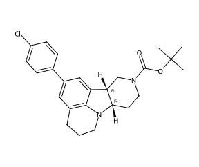 CC(C)(C)OC(=O)N1CC[C@H]2[C@@H](C1)c1cc(-c3ccc(Cl)cc3)cc3c1N2CCC3